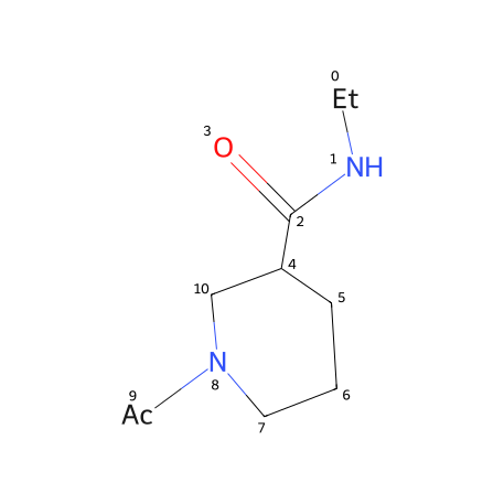 CCNC(=O)C1CCCN(C(C)=O)C1